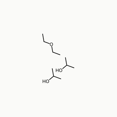 CC(C)O.CC(C)O.CCOCC